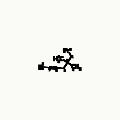 [CH2]C(C)CC(C)(C)CC#CCC